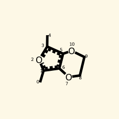 Cc1oc(C)c2c1OCCO2